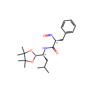 CC(C)C[C@H](NC(=O)[C@H](Cc1ccccc1)N=O)B1OC(C)(C)C(C)(C)O1